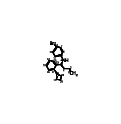 C=CCC(Nc1ccc(Br)cc1)c1ccccc1N1CCC1